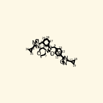 O=C(N1CCOCC1)N(CC12CCC(c3nc(C4CC4)no3)(CC1)CC2)c1cccc(-c2nc(C3CC3)no2)c1